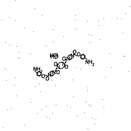 Cl.Cl.NCc1ccc(OCC(=O)N2C=CN(C(=O)CN3CCC(=O)N(CC(=O)N4C=CN(C(=O)COc5ccc(CN)cc5)C=C4)CCC3=O)C=C2)cc1